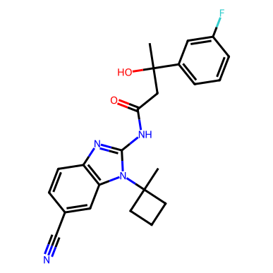 CC(O)(CC(=O)Nc1nc2ccc(C#N)cc2n1C1(C)CCC1)c1cccc(F)c1